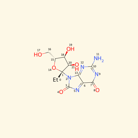 CC[C@@]1(N2C(=O)N=C3C(=O)N=C(N)N=C32)O[C@H](CO)[C@@H](O)[C@H]1O